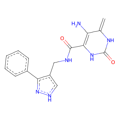 C=C1NC(=O)NC(C(=O)NCc2c[nH]nc2-c2ccccc2)=C1N